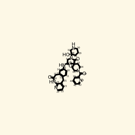 CC1(C(=O)N(CC(=O)Nc2ccc3c(c2)CC(=O)Nc2ncccc2C3)[C@]2(O)CCCNC2)CCN(C(=O)c2ccccn2)CC1